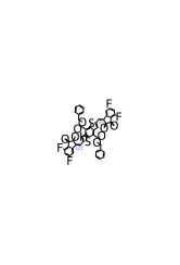 O=C1C(=O)c2c(F)cc(F)cc2/C1=C/c1cc2c(C(=O)OCc3ccccc3)c3sc(/C=C4/c5cc(F)cc(F)c5C(=O)C4O)cc3c(C(=O)OCc3ccccc3)c2s1